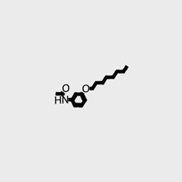 CCCCCCCCOc1cccc(NC(C)=O)c1